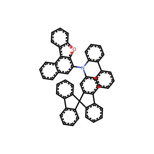 c1ccc(-c2ccccc2N(c2ccc3c(c2)C2(c4ccccc4-c4ccccc42)c2ccccc2-3)c2cc3ccccc3c3c2oc2ccccc23)cc1